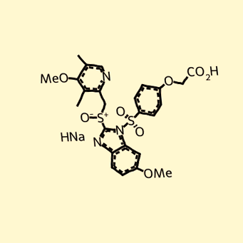 COc1ccc2nc([S+]([O-])Cc3ncc(C)c(OC)c3C)n(S(=O)(=O)c3ccc(OCC(=O)O)cc3)c2c1.[NaH]